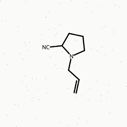 C=CCN1CCCC1C#N